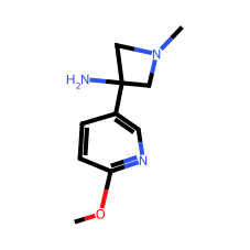 COc1ccc(C2(N)CN(C)C2)cn1